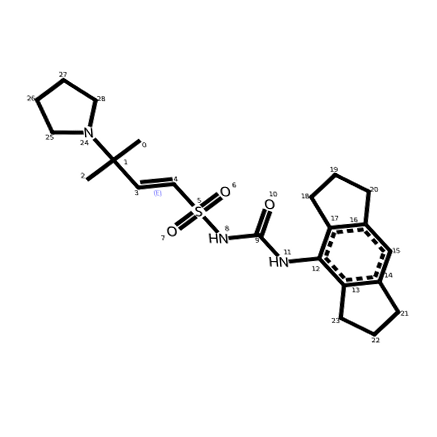 CC(C)(/C=C/S(=O)(=O)NC(=O)Nc1c2c(cc3c1CCC3)CCC2)N1CCCC1